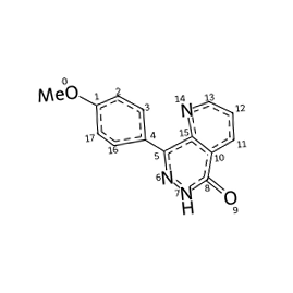 COc1ccc(-c2n[nH]c(=O)c3cccnc23)cc1